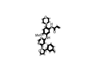 C=CC(=O)Nc1cc(Nc2cc(N3OCCC3c3cccc(F)c3)ncn2)c(OC)cc1N1CCOCC1